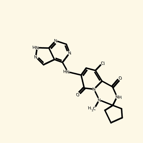 CN1n2c(c(Cl)cc(Nc3ncnc4[nH]ncc34)c2=O)C(=O)NC12CCCC2